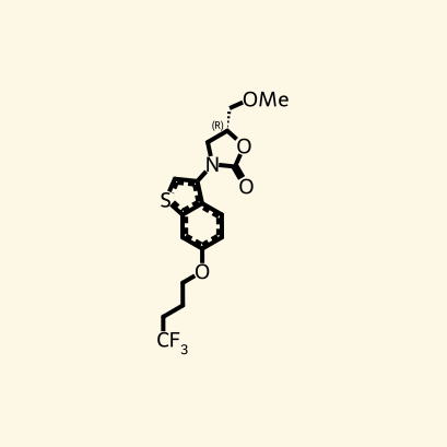 COC[C@H]1CN(c2csc3cc(OCCCC(F)(F)F)ccc23)C(=O)O1